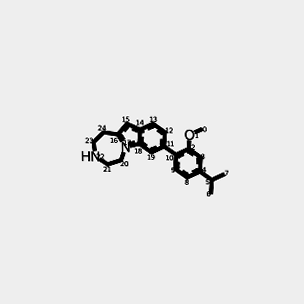 COc1cc(C(C)C)ccc1-c1ccc2cc3n(c2c1)CCNCC3